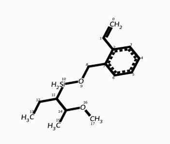 C=Cc1ccccc1CO[SiH2]C(CC)C(C)OC